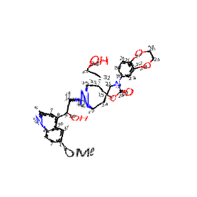 COc1ccc2nccc([C@H](O)CN3CC[C@]4(CN(c5ccc6c(c5)OCCO6)C(=O)O4)[C@@H](CCO)C3)c2c1